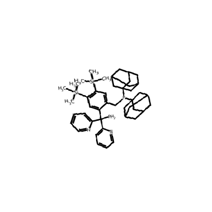 C[Si](C)(C)c1cc(CP(C23CC4CC(CC(C4)C2)C3)C23CC4CC(CC(C4)C2)C3)c(C(P)(c2ccccn2)c2ccccn2)cc1[Si](C)(C)C